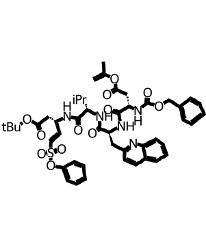 C=C(C)OC(=O)C[C@H](NC(=O)OCc1ccccc1)C(=O)N[C@@H](Cc1ccc2ccccc2n1)C(=O)N[C@H](C(=O)N[C@H](/C=C/S(=O)(=O)Oc1ccccc1)CC(=O)OC(C)(C)C)C(C)C